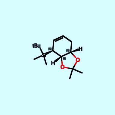 CC1(C)O[C@H]2[C@H](CC=C[C@@H]2[Si](C)(C)C(C)(C)C)O1